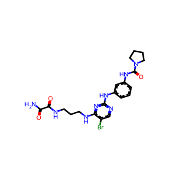 NC(=O)C(=O)NCCCNc1nc(Nc2cccc(NC(=O)N3CCCC3)c2)ncc1Br